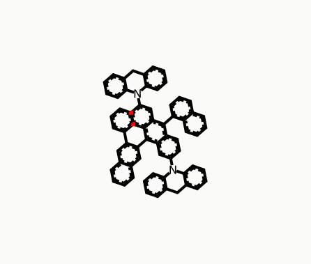 c1ccc(-c2cc3ccccc3cc2-c2c3cc(N4c5ccccc5Cc5ccccc54)ccc3c(-c3cccc4ccccc34)c3cc(N4c5ccccc5Cc5ccccc54)ccc23)cc1